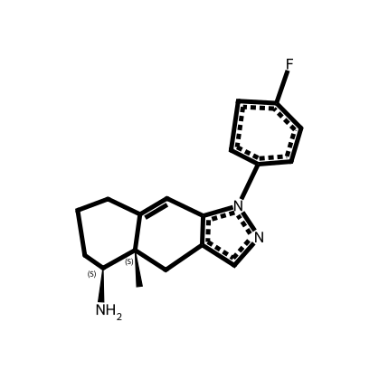 C[C@]12Cc3cnn(-c4ccc(F)cc4)c3C=C1CCC[C@@H]2N